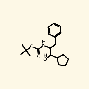 CC(C)(C)OC(=O)NC(Cc1ccccc1)C(O)C1CCCC1